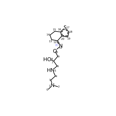 CN(C)CCNCC(O)CO/N=C1\CCCc2sccc21